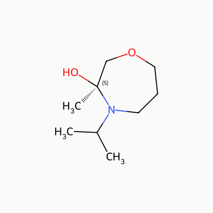 CC(C)N1CCCOC[C@]1(C)O